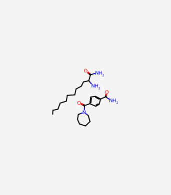 CCCCCCCCCCC(N)C(N)=O.NC(=O)c1ccc(C(=O)N2CCCCCC2)cc1